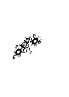 C[C@@H](Oc1nccn1-c1ccc(F)cc1F)[C@@]1(c2ccc(F)cc2F)CO1